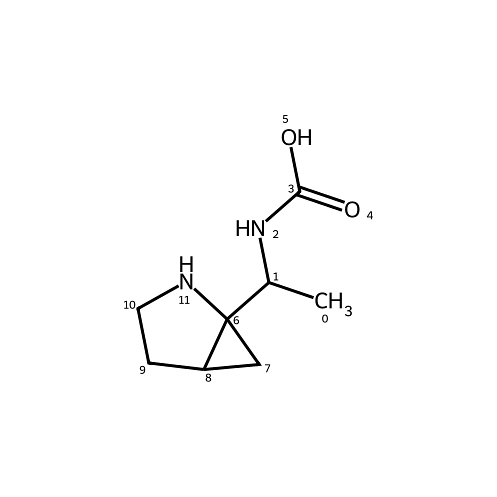 CC(NC(=O)O)C12CC1CCN2